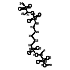 COS(=O)(=O)C(C)OS(=O)(=O)CCCCCCS(=O)(=O)OC(C)S(C)(=O)=O